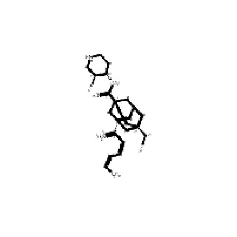 C=C(/C=C\C=C/C)[C@]12CC3CC(C(=O)N[C@H]4CCNC[C@@H]4F)(C[C@](CF)(C3)C1)C2